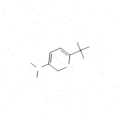 C[S+]([O-])C1=[C]C=C(C(C)(C)C)NC1